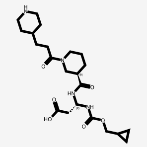 O=C(O)C[C@@H](NC(=O)OCC1CC1)NC(=O)[C@@H]1CCCN(C(=O)CCC2CCNCC2)C1